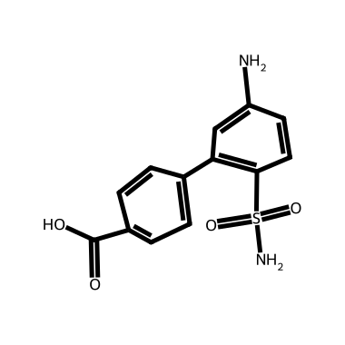 Nc1ccc(S(N)(=O)=O)c(-c2ccc(C(=O)O)cc2)c1